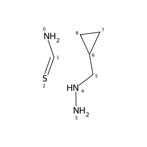 NC=S.NNCC1CC1